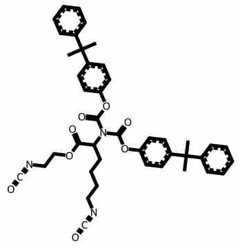 CC(C)(c1ccccc1)c1ccc(OC(=O)N(C(=O)Oc2ccc(C(C)(C)c3ccccc3)cc2)C(CCCCN=C=O)C(=O)OCCN=C=O)cc1